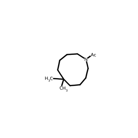 CC(=O)N1CCCCC(C)(C)CCCC1